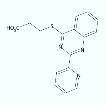 O=C(O)CCSc1nc(-c2ccccn2)nc2ccccc12